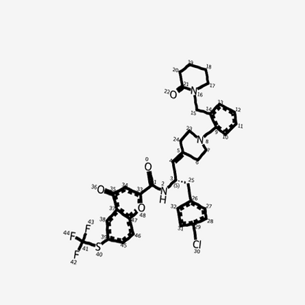 O=C(N[C@H](C=C1CCN(c2ccccc2CN2CCCCC2=O)CC1)Cc1ccc(Cl)cc1)c1cc(=O)c2cc(SC(F)(F)F)ccc2o1